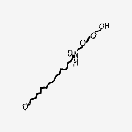 O=CCCCCCCCCCCCCCCC(=O)NCCOCCOCCO